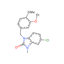 CCOc1cc(Cn2c(=O)n(C)c3cc(Cl)ccc32)ccc1OC